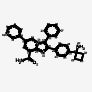 NC(=O)c1cc(-c2cccnc2)cn2c(-c3ccccc3)c(-c3ccc(C4(N)CCC4)cc3)nc12